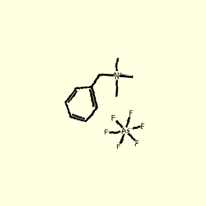 C[N+](C)(C)Cc1ccccc1.F[As-](F)(F)(F)(F)F